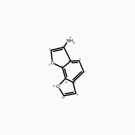 Nc1coc2c1ccc1ccoc12